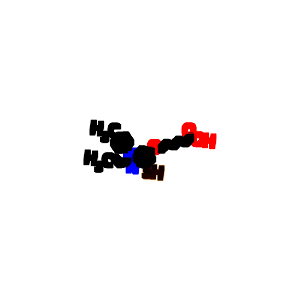 CCCc1nc2c(S)cc(OCCCCCC(=O)O)cc2n1-c1ccc(C)cc1